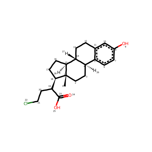 C[C@]12CC[C@@H]3c4ccc(O)cc4CC[C@H]3[C@@H]1CC[C@@H]2C(CCCl)C(=O)O